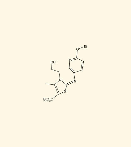 CCOC(=O)c1sc(=Nc2ccc(OCC)cc2)n(CCO)c1C